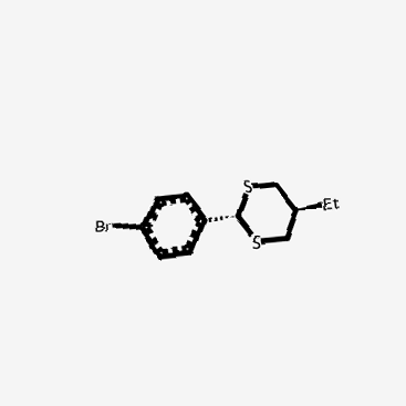 CC[C@H]1CS[C@H](c2ccc(Br)cc2)SC1